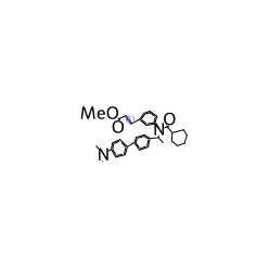 COC(=O)/C=C/c1cccc(N(C(=O)C2CCCCC2)C(C)c2ccc(-c3ccc(N(C)C)cc3)cc2)c1